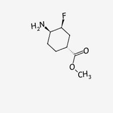 COC(=O)[C@@H]1CC[C@@H](N)[C@@H](F)C1